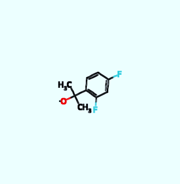 CC(C)([O])c1ccc(F)cc1F